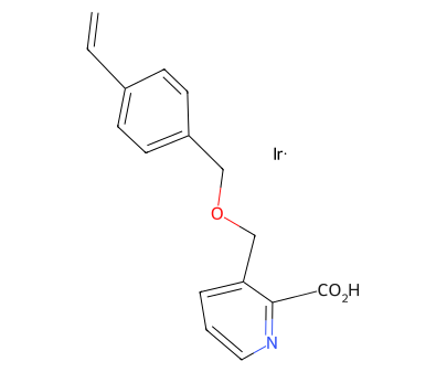 C=Cc1ccc(COCc2cccnc2C(=O)O)cc1.[Ir]